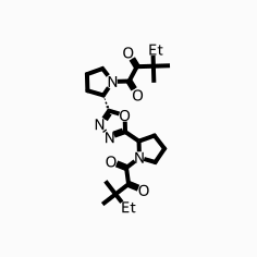 CCC(C)(C)C(=O)C(=O)N1CCCC1c1nnc([C@@H]2CCCN2C(=O)C(=O)C(C)(C)CC)o1